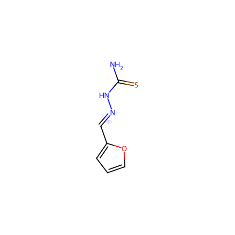 NC(=S)N/N=C/c1ccco1